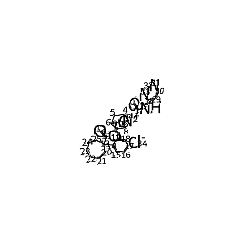 O=C(C[N+]12CCC(CC1)C(OC(=O)C1(c3ccccc3)CCCCCC1)C2)Nc1ccncn1.[Cl-]